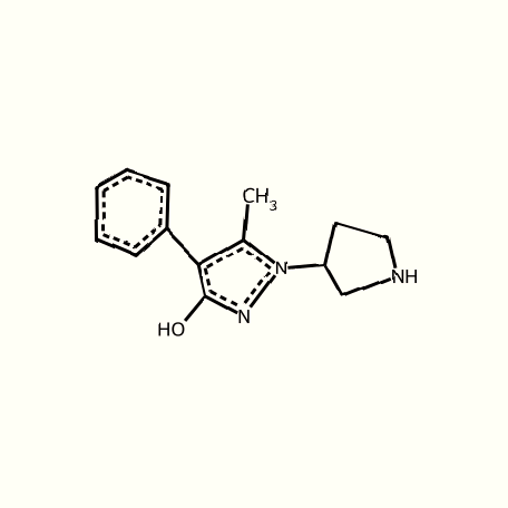 Cc1c(-c2ccccc2)c(O)nn1C1CCNC1